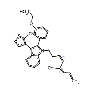 C=C/C=C(Cl)\C=C/CSn1c(-c2cccc(OCC(=O)O)c2)c(-c2ccsc2C#N)c2ccccc21